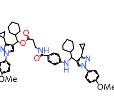 COc1ccc(-n2cc(C(Nc3ccc(C(=O)NCCC(=O)OC(c4cn(-c5ccc(OC)cc5)nc4C4CC4)C4CCCCC4)cc3)C3CCCCC3)c(C3CC3)n2)cc1